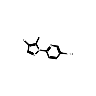 Cc1c(F)cnn1-c1ccc(C=O)cn1